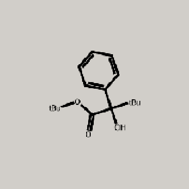 CC(C)(C)OC(=O)C(O)(c1ccccc1)C(C)(C)C